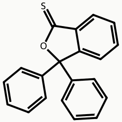 S=C1OC(c2ccccc2)(c2ccccc2)c2ccccc21